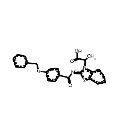 CC(C(=O)O)n1/c(=N/C(=O)c2ccc(OCc3ccccc3)cc2)sc2ccccc21